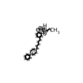 CCCNS(=O)(=O)c1cc(CCCCCN2CCN(c3ccccc3)CC2)ccc1OC